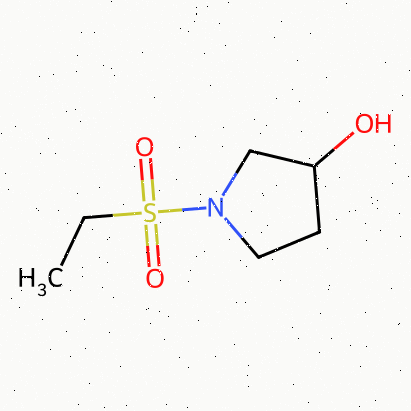 CCS(=O)(=O)N1CCC(O)C1